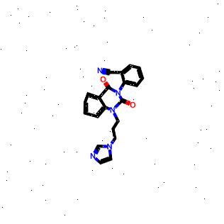 N#Cc1ccccc1-n1c(=O)c2ccccc2n(CCCn2ccnc2)c1=O